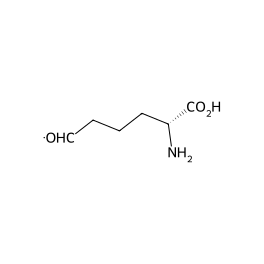 N[C@H](CCC[C]=O)C(=O)O